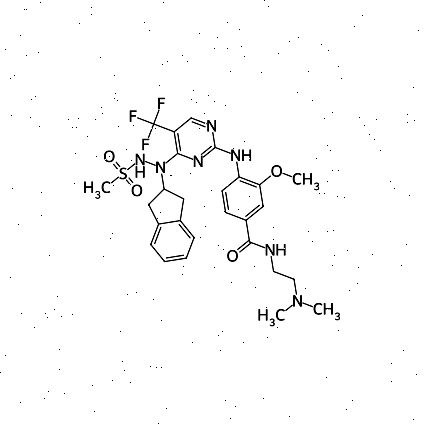 COc1cc(C(=O)NCCN(C)C)ccc1Nc1ncc(C(F)(F)F)c(N(NS(C)(=O)=O)C2Cc3ccccc3C2)n1